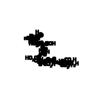 CCCCOCN(C(=O)[C@@H](NC(=O)[C@H]1CCCCN1C)C(C)CC)[C@H](C[C@@H](O)c1nc(C(=O)N[C@@H](Cc2ccc(O)cc2)C[C@H](C)C(=O)NNC(=O)OCSSC[C@@H](NC(=O)[C@H](C)NC(=O)[C@H](CC(=O)O)NC(=O)Cc2ccc(CNC(=O)NCCCC[C@@H](NC(=O)N[C@@H](CCC(=O)O)C(=O)O)C(=O)O)cc2)C(=O)O)cs1)C(C)C